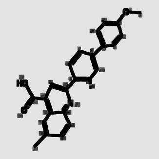 COc1ccc(-c2ccc(-c3cc(C(=O)O)c4cc(C)ccc4n3)nc2)cc1